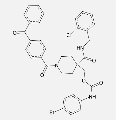 CCc1ccc(NC(=O)OCC2(C(=O)NCc3ccccc3Cl)CCN(C(=O)c3ccc(C(=O)c4ccccc4)cc3)CC2)cc1